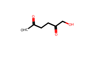 O=CC(=O)CCC(=O)CO